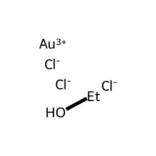 CCO.[Au+3].[Cl-].[Cl-].[Cl-]